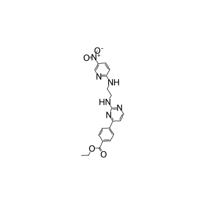 CCOC(=O)c1ccc(-c2ccnc(NCCNc3ccc([N+](=O)[O-])cn3)n2)cc1